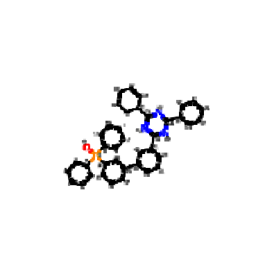 O=P(c1ccccc1)(c1ccccc1)c1cccc(-c2cccc(-c3nc(-c4ccccc4)nc(C4C=CC=CC4)n3)c2)c1